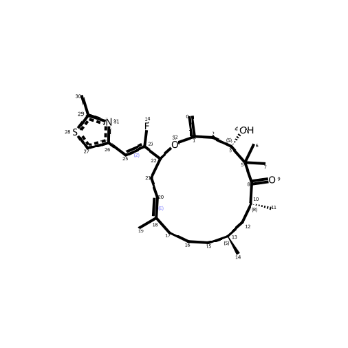 C=C1C[C@H](O)C(C)(C)C(=O)[C@H](C)C[C@@H](C)CCC/C(C)=C/CC(/C(F)=C/c2csc(C)n2)O1